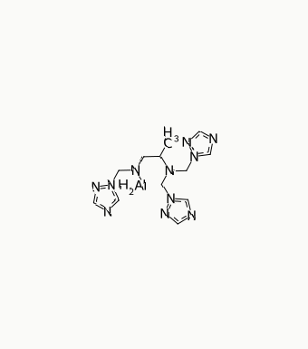 CC(C[N]([AlH2])Cn1cncn1)N(Cn1cncn1)Cn1cncn1